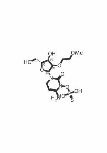 COCCO[C@@H]1[C@H](O)[C@@H](CO)O[C@H]1N1CC=C(N)N(OP(O)(O)=S)C1=O